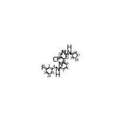 FC1=CC(CNc2cccc(-c3cc(NC4CCCC4)ncc3Cl)n2)CC=C1